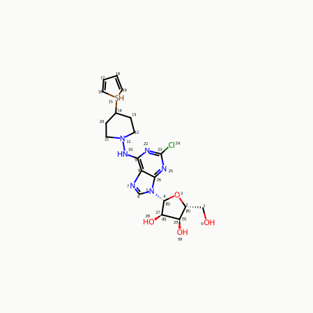 OC[C@H]1O[C@@H](n2cnc3c(NN4CCC([SH]5C=CC=C5)CC4)nc(Cl)nc32)[C@H](O)[C@@H]1O